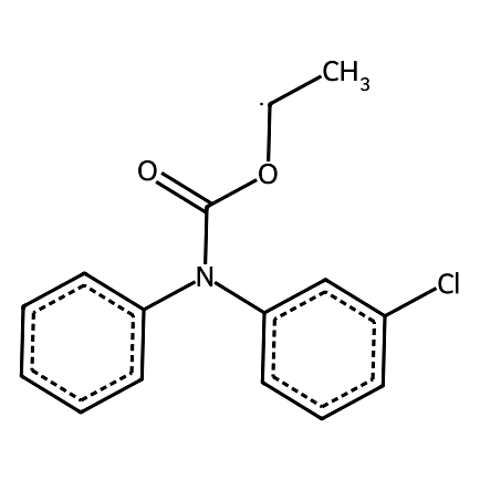 C[CH]OC(=O)N(c1ccccc1)c1cccc(Cl)c1